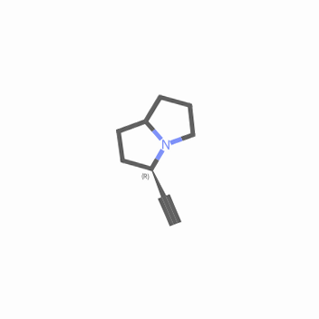 C#C[C@H]1CCC2CCCN21